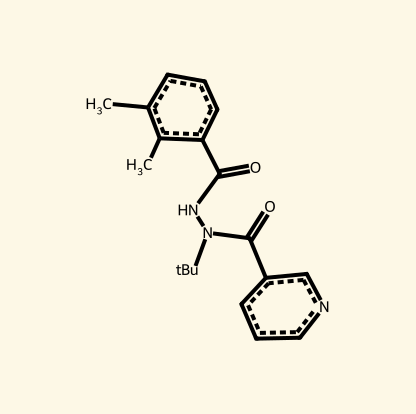 Cc1cccc(C(=O)NN(C(=O)c2cccnc2)C(C)(C)C)c1C